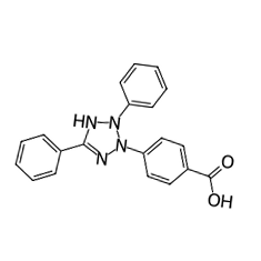 O=C(O)c1ccc(N2N=C(c3ccccc3)NN2c2ccccc2)cc1